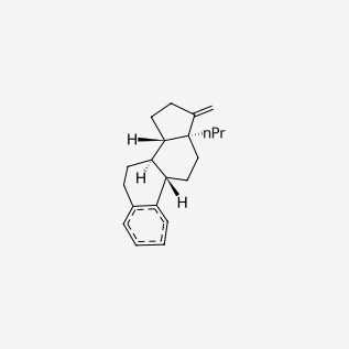 C=C1CC[C@H]2[C@@H]3CCc4ccccc4[C@H]3CC[C@]12CCC